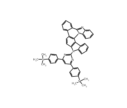 C[Si](C)(C)c1ccc(-c2cc(-c3ccc([Si](C)(C)C)cc3)nc(-n3c4ccccc4c4c3ccc3c5ccccc5c5nc6ccccc6n5c34)n2)cc1